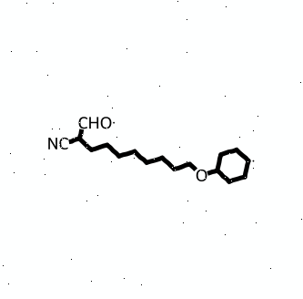 N#CC([C]=O)CCCCCCCCOC1CC[CH]CC1